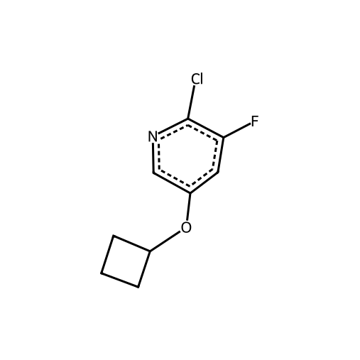 Fc1cc(OC2CCC2)cnc1Cl